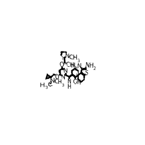 C[C@H](Oc1cc(OCC2(N(C)C)CC2)nc(C(=N)C2=C(O)[C@@]3(CCC2)CCCc2sc(N)c(N)c23)n1)[C@@H]1CCCN1C